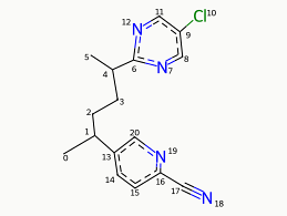 CC(CCC(C)c1ncc(Cl)cn1)c1ccc(C#N)nc1